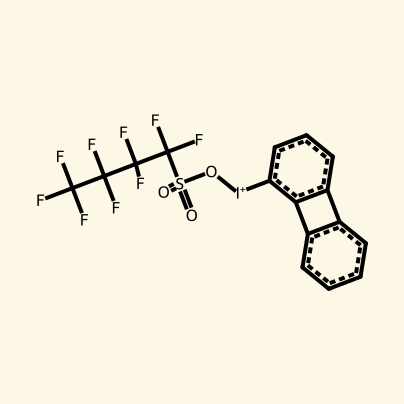 O=S(=O)(O[I+]c1cccc2c1-c1ccccc1-2)C(F)(F)C(F)(F)C(F)(F)C(F)(F)F